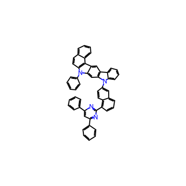 c1ccc(-c2cc(-c3ccccc3)nc(-c3cccc4cc(-n5c6ccccc6c6cc7c8c9ccccc9ccc8n(-c8ccccc8)c7cc65)ccc34)n2)cc1